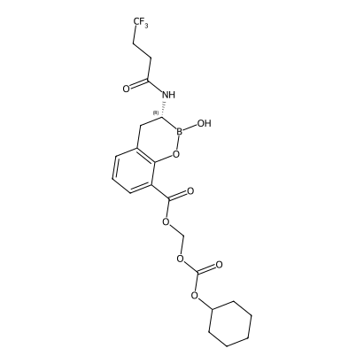 O=C(CCC(F)(F)F)N[C@H]1Cc2cccc(C(=O)OCOC(=O)OC3CCCCC3)c2OB1O